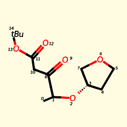 CC(O[C@H]1CCOC1)C(=O)CC(=O)OC(C)(C)C